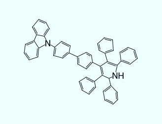 c1ccc(C2=C(c3ccccc3)C(c3ccc(-c4ccc(-n5c6ccccc6c6ccccc65)cc4)cc3)=C(c3ccccc3)C(c3ccccc3)N2)cc1